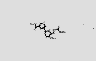 COC(=O)c1cncc(-c2ccc(OC)c(CNC(=O)OC(C)(C)C)c2)c1